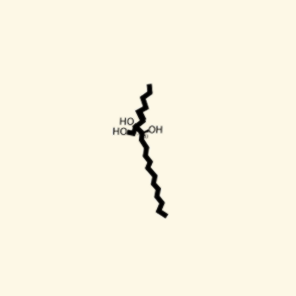 CCCCC=CC(O)(CO)[C@@H](O)CCCCCCCCCCCC